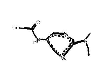 CN(C)c1ncc(NC(=O)O)cn1